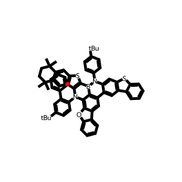 CC(C)(C)c1ccc(N2B3c4sc5cc6c(cc5c4N(c4ccc(C(C)(C)C)cc4-c4ccccc4)c4c3c(cc3c4oc4ccccc43)-c3cc4c(cc32)sc2ccccc24)C(C)(C)CCC6(C)C)cc1